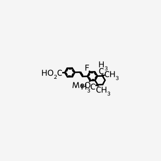 COc1c(C=Cc2ccc(C(=O)O)cc2)c(F)cc2c1C(C)(C)CCC2(C)C